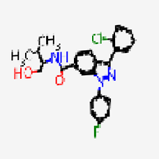 CC(C)C(CO)NC(=O)c1ccc2c(-c3ccccc3Cl)nn(-c3ccc(F)cc3)c2c1